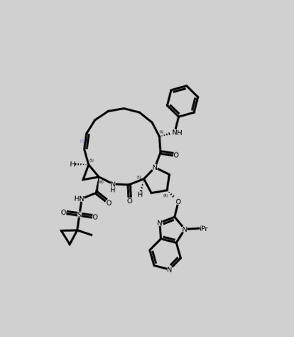 CC(C)n1c(O[C@@H]2C[C@H]3C(=O)N[C@]4(C(=O)NS(=O)(=O)C5(C)CC5)C[C@H]4/C=C\CCCCC[C@H](Nc4ccccc4)C(=O)N3C2)nc2ccncc21